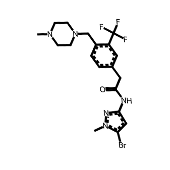 CN1CCN(Cc2ccc(CC(=O)Nc3cc(Br)n(C)n3)cc2C(F)(F)F)CC1